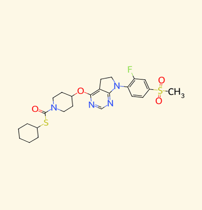 CS(=O)(=O)c1ccc(N2CCc3c(OC4CCN(C(=O)SC5CCCCC5)CC4)ncnc32)c(F)c1